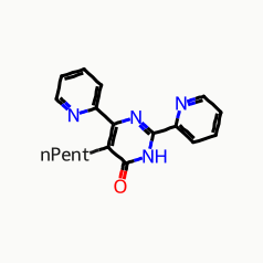 CCCCCc1c(-c2ccccn2)nc(-c2ccccn2)[nH]c1=O